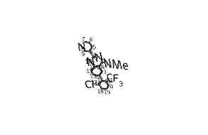 CNc1nc(-c2cccnc2)nc2ccc(-c3c(Cl)cccc3C(F)(F)F)cc12